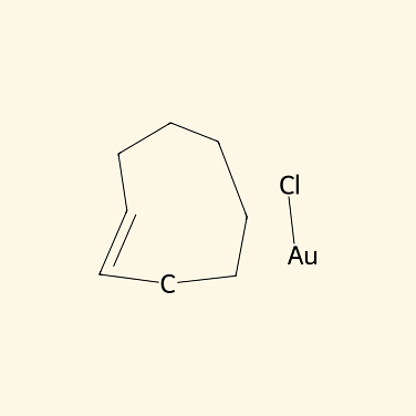 C1=C/CCCCCC/1.[Cl][Au]